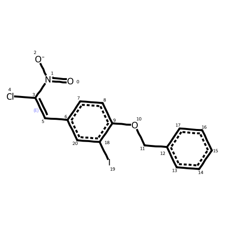 O=[N+]([O-])/C(Cl)=C\c1ccc(OCc2ccccc2)c(I)c1